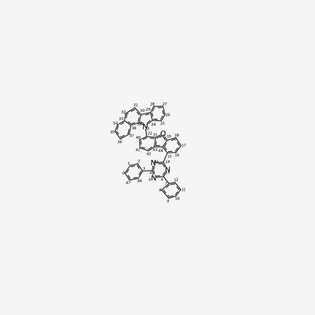 c1ccc(-c2nc(-c3ccccc3)nc(-c3cccc4oc5c(-n6c7ccccc7c7ccc8ccccc8c76)cccc5c34)n2)cc1